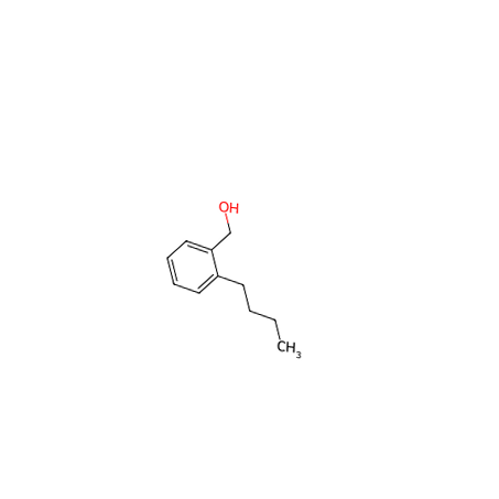 CCCCc1ccccc1CO